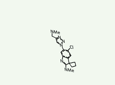 CNCc1cn(-c2cc3c(cc2Cl)C2(CCC2)C(NC)=N3)nn1